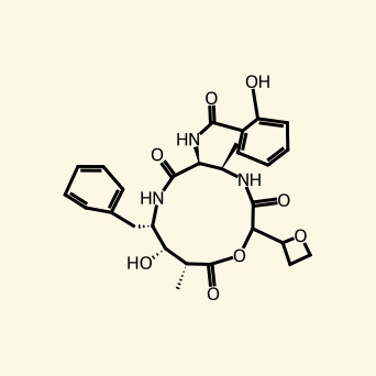 C[C@H]1NC(=O)C(C2CCO2)OC(=O)[C@H](C)[C@H](O)[C@H](Cc2ccccc2)NC(=O)[C@H]1NC(=O)c1ccccc1O